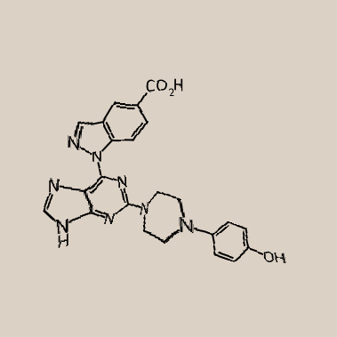 O=C(O)c1ccc2c(cnn2-c2nc(N3CCN(c4ccc(O)cc4)CC3)nc3[nH]cnc23)c1